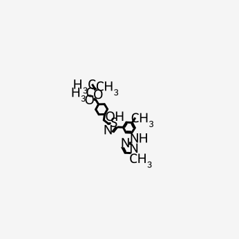 Cc1cc(Nc2nccc(C)n2)cc(-c2cnc(CC3(O)CCC(C(=O)OC(C)(C)C)CC3)s2)c1